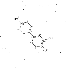 CC(C)N1CC=C(c2ccc(Br)c(Cl)c2)CC1